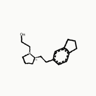 OCCN1CCC[C@@H]1CCc1ccc2c(c1)CCC2